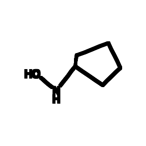 ONC1CCCC1